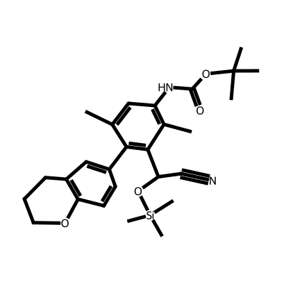 Cc1cc(NC(=O)OC(C)(C)C)c(C)c(C(C#N)O[Si](C)(C)C)c1-c1ccc2c(c1)CCCO2